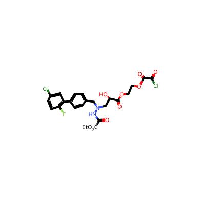 CCOC(=O)C(=O)NN(Cc1ccc(-c2cc(Cl)ccc2F)cc1)C[C@@H](O)C(=O)OCCOC(=O)C(=O)Cl